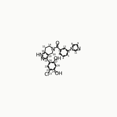 O=C(c1cccc(-n2ccnc2)c1)N1CCc2[nH]nc(-c3cc(Cl)c(O)cc3O)c2C1